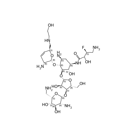 NC[C@@H]1O[C@H](O[C@H]2[C@@H](O)[C@H](O[C@@H]3[C@@H](O)[C@H](NC(=O)C(O)[C@@H](F)CN)C[C@H](N)[C@H]3O[C@H]3O[C@H](CNCCO)C=C[C@H]3N)O[C@@H]2CO)[C@H](N)[C@@H](O)[C@@H]1O